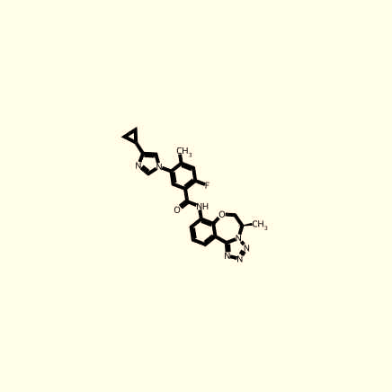 Cc1cc(F)c(C(=O)Nc2cccc3c2OC[C@@H](C)n2nnnc2-3)cc1-n1cnc(C2CC2)c1